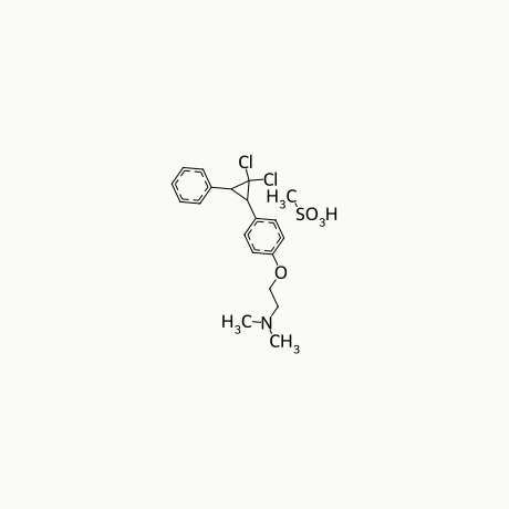 CN(C)CCOc1ccc(C2C(c3ccccc3)C2(Cl)Cl)cc1.CS(=O)(=O)O